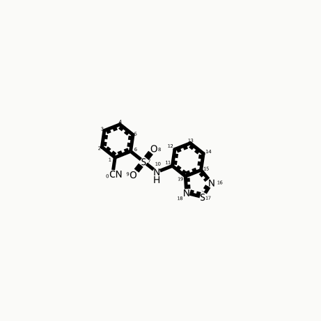 N#Cc1ccccc1S(=O)(=O)Nc1cccc2nsnc12